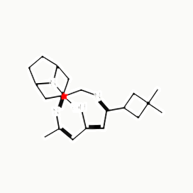 CC1=C/C(C)=C/C(C2CC(C)(C)C2)=N\C/C(N2C3CCC2CC(O)C3)=N\1